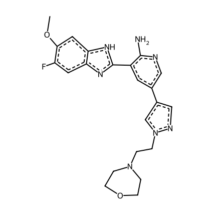 COc1cc2[nH]c(-c3cc(-c4cnn(CCN5CCOCC5)c4)cnc3N)nc2cc1F